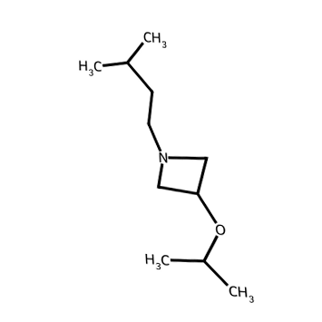 CC(C)CCN1CC(OC(C)C)C1